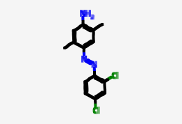 Cc1cc(N=Nc2ccc(Cl)cc2Cl)c(C)cc1N